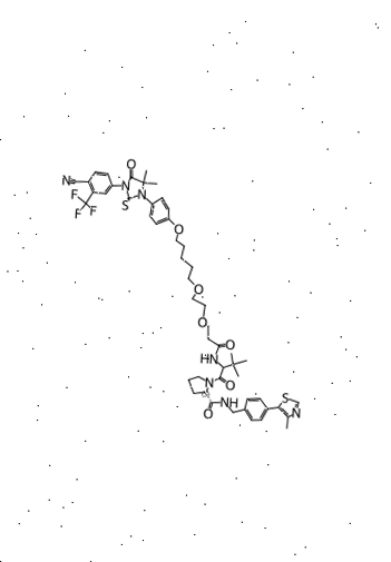 Cc1ncsc1-c1ccc(CNC(=O)[C@@H]2CCCN2C(=O)C(NC(=O)CCOCCOCCCCCOc2ccc(N3C(=S)N(c4ccc(C#N)c(C(F)(F)F)c4)C(=O)C3(C)C)cc2)C(C)(C)C)cc1